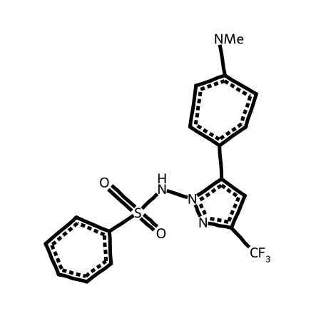 CNc1ccc(-c2cc(C(F)(F)F)nn2NS(=O)(=O)c2ccccc2)cc1